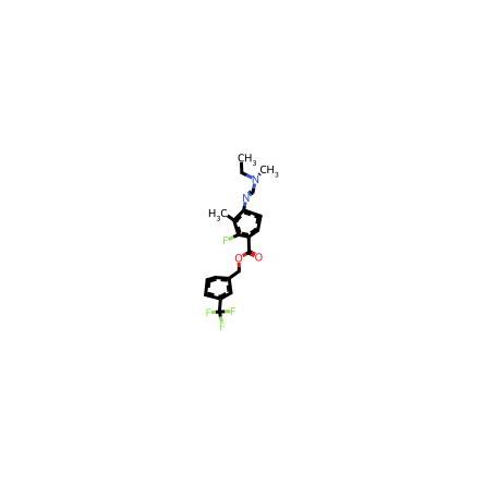 CCN(C)/C=N/c1ccc(C(=O)OCc2cccc(C(F)(F)F)c2)c(F)c1C